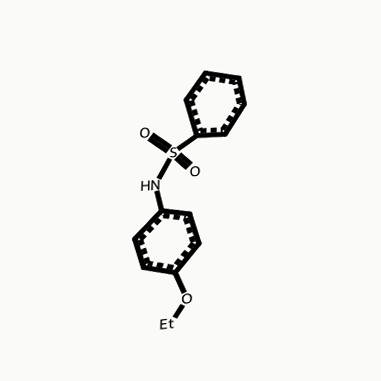 CCOc1ccc(NS(=O)(=O)c2ccccc2)cc1